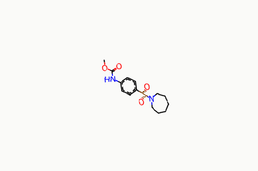 COC(=O)Nc1ccc(S(=O)(=O)N2CCCCCC2)cc1